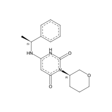 C[C@H](Nc1cc(=O)n([C@@H]2CCCOC2)c(=O)[nH]1)c1ccccc1